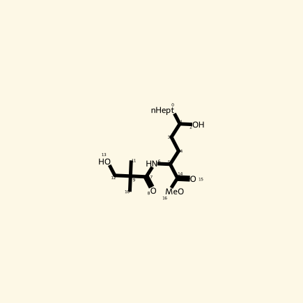 CCCCCCCC(O)CCC(NC(=O)C(C)(C)CO)C(=O)OC